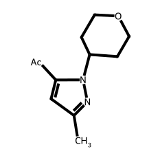 CC(=O)c1cc(C)nn1C1CCOCC1